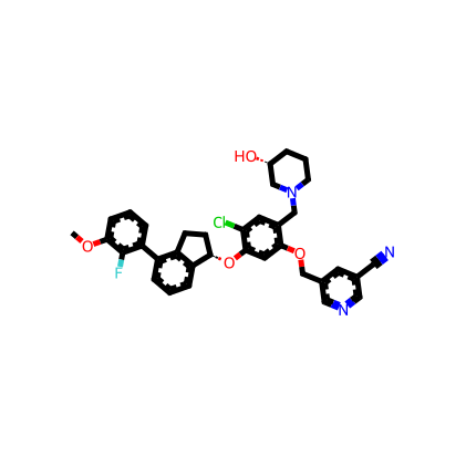 COc1cccc(-c2cccc3c2CC[C@@H]3Oc2cc(OCc3cncc(C#N)c3)c(CN3CCC[C@@H](O)C3)cc2Cl)c1F